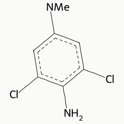 CNc1cc(Cl)c(N)c(Cl)c1